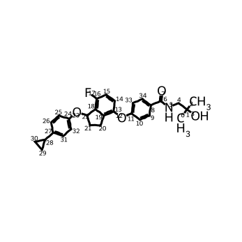 CC(C)(O)CNC(=O)c1ccc(Oc2ccc(F)c3c2CCC3Oc2ccc(C3CC3)cc2)cc1